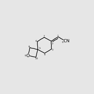 N#CC=C1CCC2(CC1)COC2